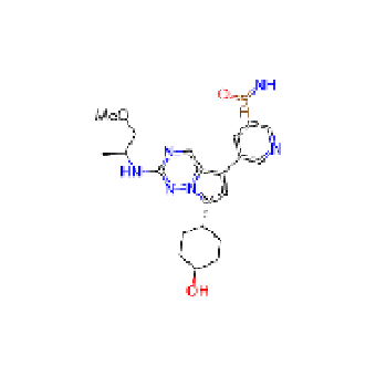 COC[C@H](C)Nc1ncc2c(-c3cncc([SH](=N)=O)c3)cc([C@H]3CC[C@H](O)CC3)n2n1